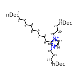 CCCCCCCCCCCCCCCCCCCc1n(CCCCCCCCCCCCC)cc[n+]1CCCCCCCCCCCCC